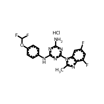 Cc1nc2c(F)cc(F)cc2n1-c1nc(N)nc(Nc2ccc(OC(F)F)cc2)n1.Cl